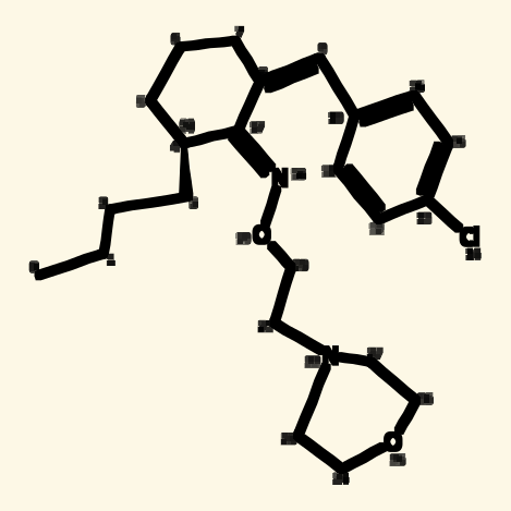 CCCC[C@H]1CCCC(=Cc2ccc(Cl)cc2)C1=NOCCN1CCOCC1